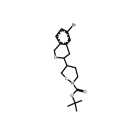 CC(C)(C)OC(=O)N1CCC(C2Cc3cc(Br)ccc3CO2)CC1